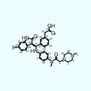 CN1CCN(CC(=O)N(C)c2ccc(NC(=C3C(=O)Nc4cc(F)ccc43)c3cccc(CC(=O)O)c3)cc2)CC1